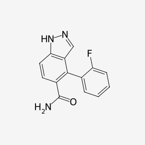 NC(=O)c1ccc2[nH]ncc2c1-c1ccccc1F